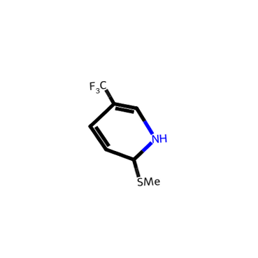 CSC1C=CC(C(F)(F)F)=CN1